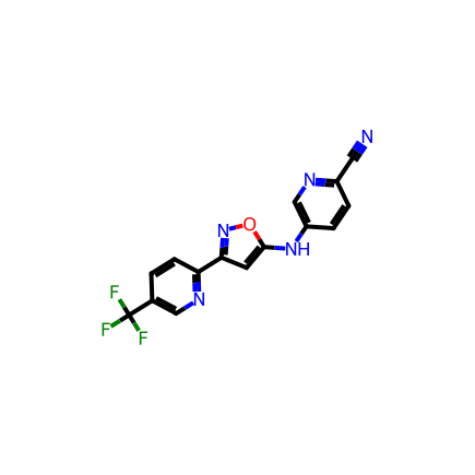 N#Cc1ccc(Nc2cc(-c3ccc(C(F)(F)F)cn3)no2)cn1